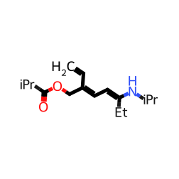 C=C/C(=C\C=C(/CC)NC(C)C)COC(=O)C(C)C